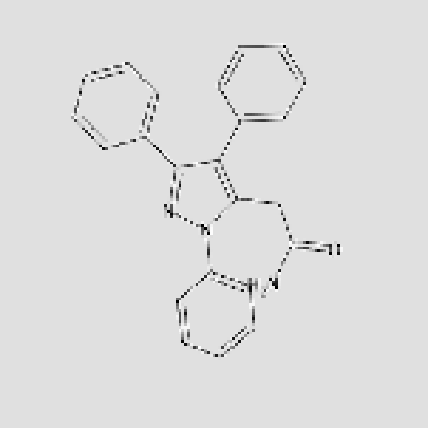 NC(=O)Cc1c(-c2ccccc2)c(-c2ccccc2)nn1-c1ccccc1